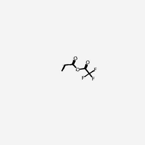 C[CH]C(=O)OC(=O)C(F)(F)F